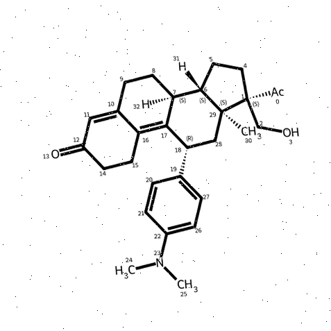 CC(=O)[C@@]1(CO)CC[C@H]2[C@@H]3CCC4=CC(=O)CCC4=C3[C@@H](c3ccc(N(C)C)cc3)C[C@@]21C